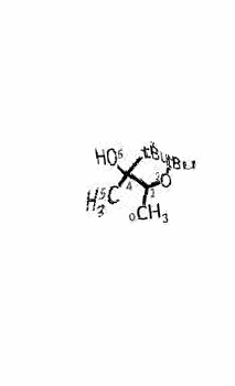 CC(OC(C)(C)C)C(C)(O)C(C)(C)C